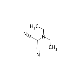 CCN(CC)C(C#N)C#N